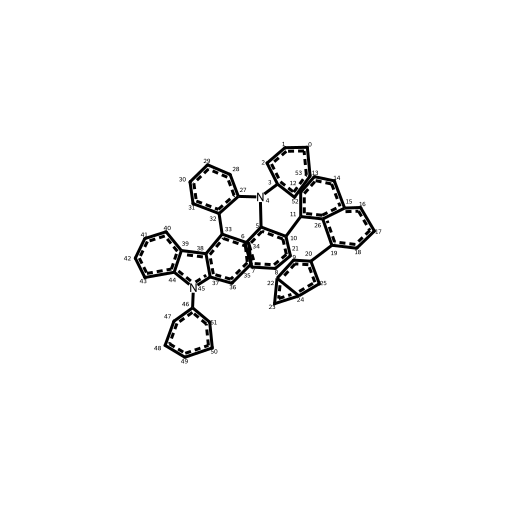 c1ccc(N(c2ccccc2-c2cccc3cccc(-c4cc5cc-5c4)c23)c2ccccc2-c2cccc3c2c2ccccc2n3-c2ccccc2)cc1